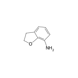 Nc1cccc2c1OCC2